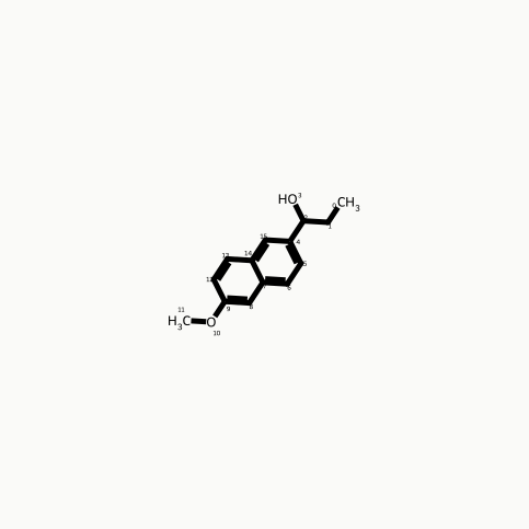 CCC(O)c1ccc2cc(OC)ccc2c1